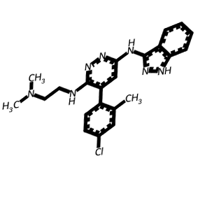 Cc1cc(Cl)ccc1-c1cc(Nc2n[nH]c3ccccc23)nnc1NCCN(C)C